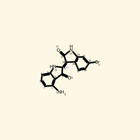 Nc1cccc2c1C(=O)/C(=C1/C(=O)Nc3cc(Br)ccc31)N2